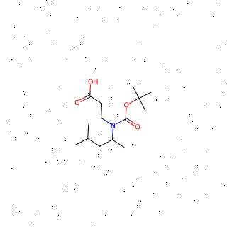 CC(C)CC(C)N(CCC(=O)O)C(=O)OC(C)(C)C